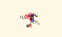 CCN(C(=O)CCCCC(=O)c1ccccc1)[C@H]1CC[C@H]2[C@H]3Cc4c(O)cc(OC(C)=O)c5c4[C@@]2(CCN3CC2CC2)[C@H]1O5